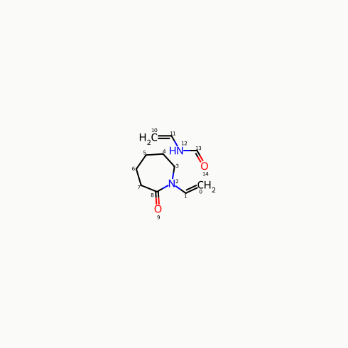 C=CN1CCCCCC1=O.C=CNC=O